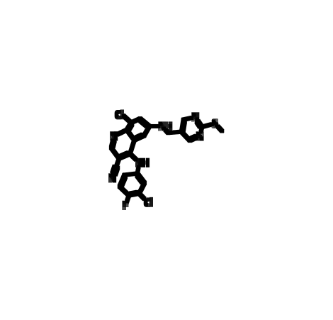 CSc1ncc(CNc2cc(Cl)c3ncc(C#N)c(Nc4ccc(F)c(Cl)c4)c3c2)cn1